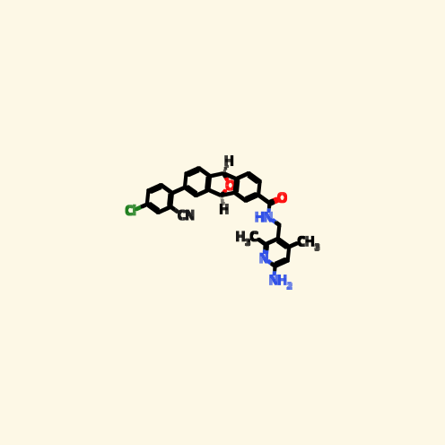 Cc1cc(N)nc(C)c1CNC(=O)c1ccc2c(c1)[C@@H]1O[C@H]2c2ccc(-c3ccc(Cl)cc3C#N)cc21